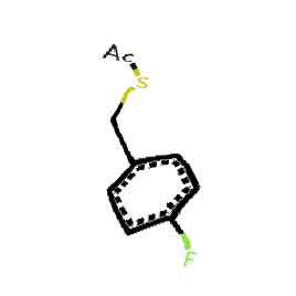 CC(=O)SCc1ccc(F)cc1